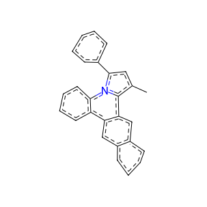 Cc1cc(-c2ccccc2)n2c3ccccc3c3cc4ccccc4cc3c12